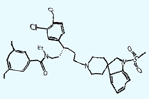 CCN(C[C@@H](CCN1CCC2(CC1)CN(S(C)(=O)=O)c1ccccc12)c1ccc(Cl)c(Cl)c1)C(=O)c1cc(C)cc(C)c1